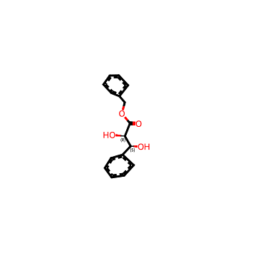 O=C(OCc1ccccc1)[C@H](O)[C@@H](O)c1ccccc1